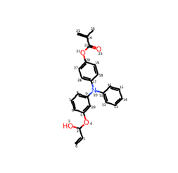 C=CC(O)Oc1cccc(N(c2ccccc2)c2ccc(OC(=O)C(=C)C)cc2)c1